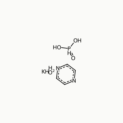 O.O=[PH](O)O.[KH].c1cnccn1